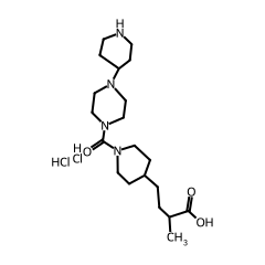 CC(CCC1CCN(C(=O)N2CCN(C3CCNCC3)CC2)CC1)C(=O)O.Cl.Cl